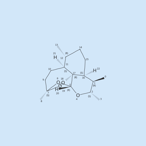 C[C@H]1[C@H](C)O[C@@H]2O[C@]3(C)CC[C@H]4[C@H](C)CC[C@@H]1[C@@]24OO3